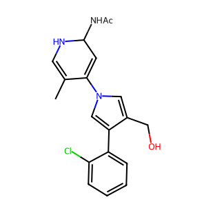 CC(=O)NC1C=C(n2cc(CO)c(-c3ccccc3Cl)c2)C(C)=CN1